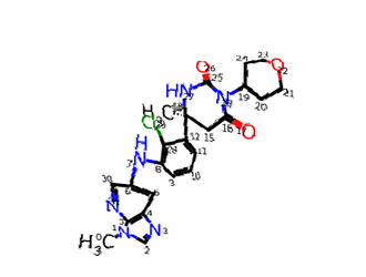 Cn1cnc2cc(Nc3cccc([C@]4(C)CC(=O)N(C5CCOCC5)C(=O)N4)c3Cl)cnc21